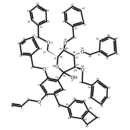 C=CCOc1cc(OCc2ccccc2)c(C2(O)O[C@H](COCc3ccccc3)[C@@H](OCc3ccccc3)[C@H](OCc3ccccc3)[C@H]2OCc2ccccc2)cc1Cc1ccc2c(c1)CC2